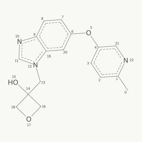 Cc1ccc(Oc2ccc3ncn(CC4(O)COC4)c3c2)cn1